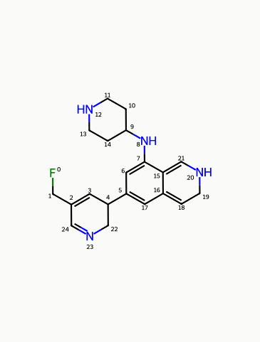 FCC1=CC(c2cc(NC3CCNCC3)c3c(c2)=CCNC=3)CN=C1